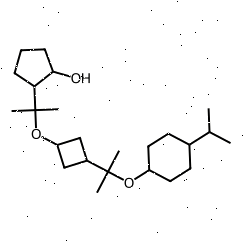 CC(C)C1CCC(OC(C)(C)C2CC(OC(C)(C)C3CCCC3O)C2)CC1